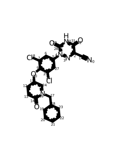 N#Cc1nn(-c2cc(Cl)c(Oc3ccc(=O)n(Cc4ccccc4)c3)c(Cl)c2)c(=O)[nH]c1=O